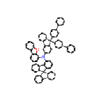 c1ccc(-c2ccc(C3(c4ccc(-c5ccccc5)cc4)c4ccccc4-c4cc(N(c5cccc6c5-c5ccccc5C65c6ccccc6-c6ccccc65)c5cccc6c5oc5ccccc56)ccc43)cc2)cc1